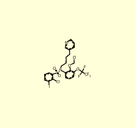 O=S(=O)(c1cccc(I)c1Cl)N(CCCCc1cccnc1)c1cccc(OC(F)(F)C(F)(F)F)c1OCCl